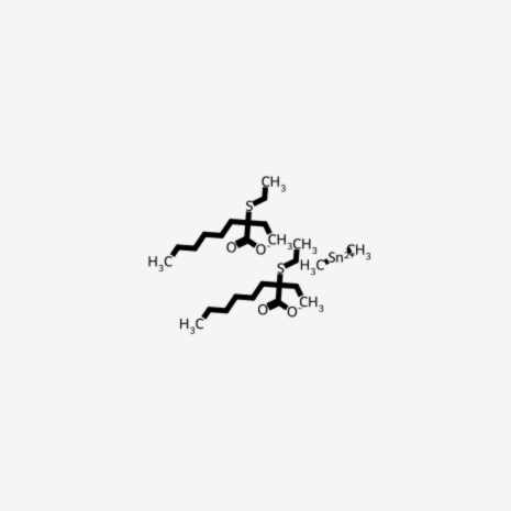 CCCCCCC(CC)(SCC)C(=O)[O-].CCCCCCC(CC)(SCC)C(=O)[O-].[CH3][Sn+2][CH3]